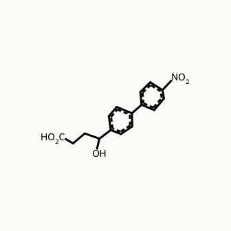 O=C(O)CCC(O)c1ccc(-c2ccc([N+](=O)[O-])cc2)cc1